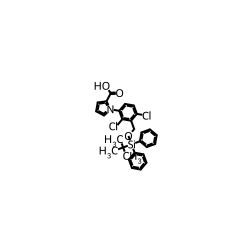 CC(C)(C)[Si](OCc1c(Cl)ccc(-n2cccc2C(=O)O)c1Cl)(c1ccccc1)c1ccccc1